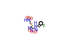 CS(=O)(=O)NCCSc1nonc1/C(=N\O)NC1Cc2c(F)cccc21